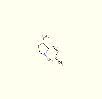 C=C/C=C\C1C(C)CCN1C